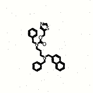 O=C(OCc1cncs1)N(CCCN(Cc1ccccc1)Cc1ccc2ccccc2c1)Cc1ccccc1